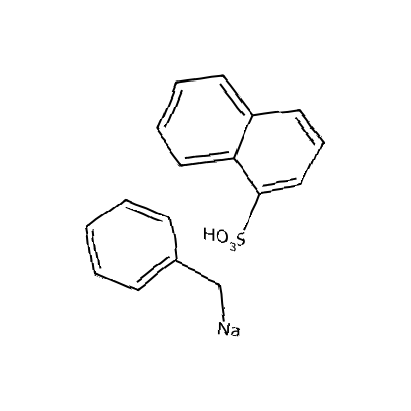 O=S(=O)(O)c1cccc2ccccc12.[Na][CH2]c1ccccc1